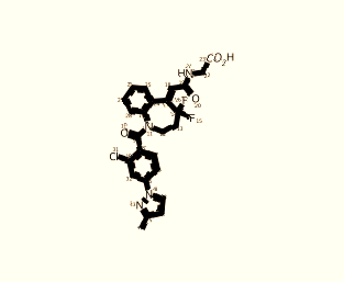 Cc1ccn(-c2ccc(C(=O)N3CCC(F)(F)/C(=C\C(=O)NCC(=O)O)c4ccccc43)c(Cl)c2)n1